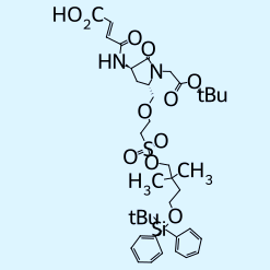 CC(C)(CCO[Si](c1ccccc1)(c1ccccc1)C(C)(C)C)COS(=O)(=O)CCOC[C@@H]1C[C@@H](NC(=O)/C=C/C(=O)O)C(=O)N1CC(=O)OC(C)(C)C